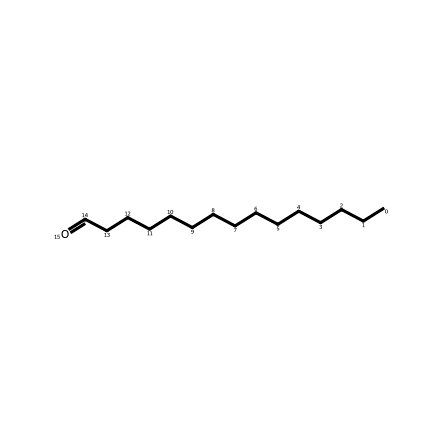 CCCCCCCCCCCCCC[C]=O